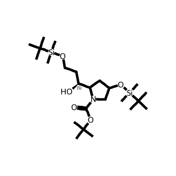 CC(C)(C)OC(=O)N1CC(O[Si](C)(C)C(C)(C)C)CC1[C@@H](O)CCO[Si](C)(C)C(C)(C)C